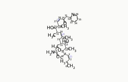 C=C/C=C\C(C)C(OC(N)=O)C(C)C(O)C(C)C/C(C)=C\C(C)C(O)C(C)/C=C\C(=O)Cc1ccccn1